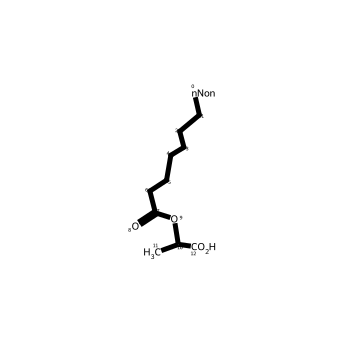 CCCCCCCCCCCCCCCC(=O)OC(C)C(=O)O